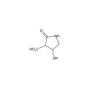 CCCC1CNC(=O)C1C(=O)O